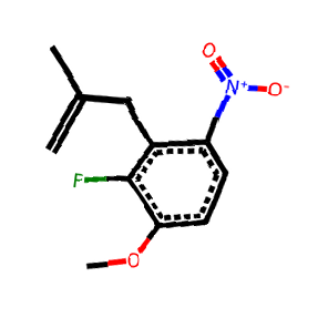 C=C(C)Cc1c([N+](=O)[O-])ccc(OC)c1F